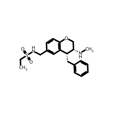 CCS(=O)(=O)NCc1ccc2c(c1)[C@@H](Cc1ccccc1)[C@@H](NC)CO2